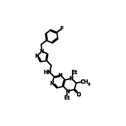 CCN1C(=O)C(C)N(CC)c2nc(NCc3cnn(Cc4ccc(F)cc4)c3)ncc21